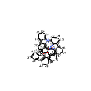 c1ccc(-c2ccccc2-n2c3ccccc3c3cccc(-n4c5ccccc5c5ccc([Si](c6ccccc6)(c6ccccc6)c6ccccc6)cc54)c32)cc1